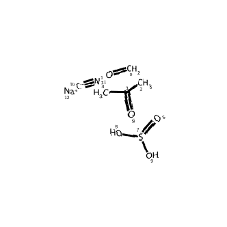 C=O.CC(C)=O.O=S(O)O.[C-]#N.[Na+]